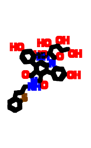 O=C1c2c(c3c4ccc(O)cc4n(C4OC(CO)C(O)C(O)C4O)c3c3[nH]c4cc(O)ccc4c23)C(=O)N1NCc1cc2ccccc2s1